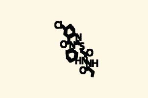 CCC(=O)NNC(=O)CSc1nc2ccc(Cl)cc2c(=O)n1-c1ccccc1